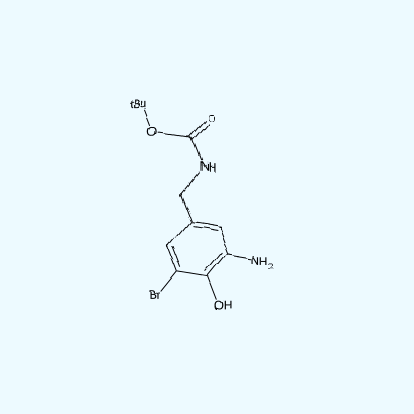 CC(C)(C)OC(=O)NCc1cc(N)c(O)c(Br)c1